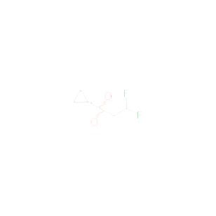 O=S(=O)(CC(F)F)[C]1CC1